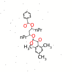 CCCC(CC(CCC)OC(=O)c1ccccc1)OC(=O)C(=O)c1c(C)cc(C)cc1C